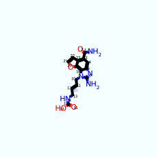 NC(=O)c1cc2nc(N)n(C/C=C/CNC(=O)O)c2c2occc12